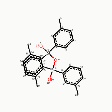 Cc1cccc([Si](O)(O[Si](O)(c2cccc(C)c2)c2cccc(C)c2)c2cccc(C)c2)c1